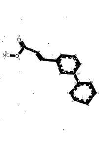 N#COC(=O)C=Cc1cccc(-c2ccccc2)c1